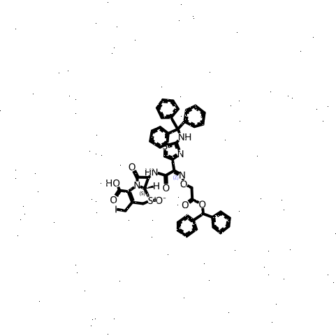 O=C(CO/N=C(\C(=O)NC1C(=O)N2C(C(=O)O)=C(CI)C[S+]([O-])[C@@H]12)c1csc(NC(c2ccccc2)(c2ccccc2)c2ccccc2)n1)OC(c1ccccc1)c1ccccc1